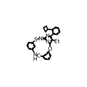 CCc1c2nc(nc1-c1ccccc1C1CCC1)NSc1cccc(c1)NCc1cccc(c1)O2